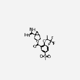 CC(Oc1ccc(S(C)(=O)=O)cc1C(=O)N1CC2CC2(C(=N)N)C1)C(F)(F)F